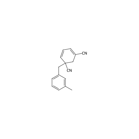 Cc1cccc(CC2(C#N)C=CC=C(C#N)C2)c1